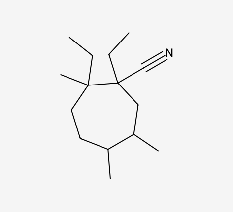 CCC1(C)CCC(C)C(C)CC1(C#N)CC